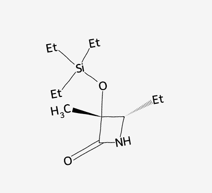 CC[C@@H]1NC(=O)[C@]1(C)O[Si](CC)(CC)CC